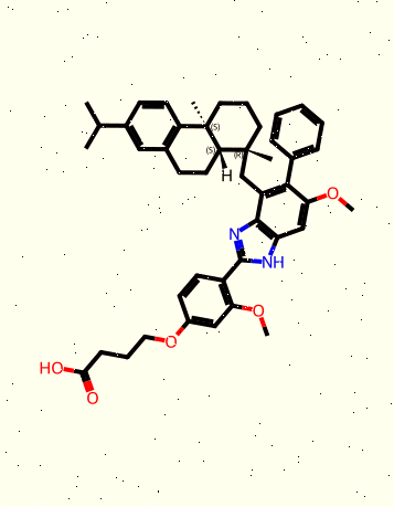 COc1cc(OCCCC(=O)O)ccc1-c1nc2c(C[C@@]3(C)CCC[C@]4(C)c5ccc(C(C)C)cc5CC[C@@H]34)c(-c3ccccc3)c(OC)cc2[nH]1